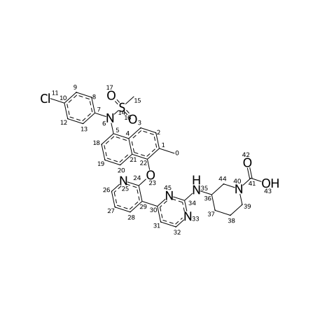 Cc1ccc2c(N(c3ccc(Cl)cc3)S(C)(=O)=O)cccc2c1Oc1ncccc1-c1ccnc(NC2CCCN(C(=O)O)C2)n1